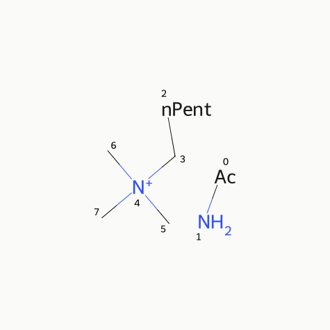 CC(N)=O.CCCCCC[N+](C)(C)C